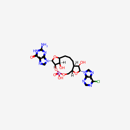 Nc1nc2c(ncn2[C@@H]2OC3CCC[C@H]4[C@@H](O)[C@H](n5cnc6c(Cl)ncnc65)O[C@@H]4COP(=O)(O)O[C@@H]2[C@@H]3O)c(=O)[nH]1